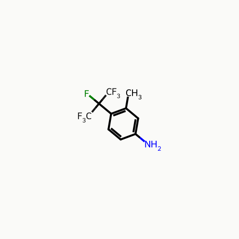 Cc1cc(N)ccc1C(F)(C(F)(F)F)C(F)(F)F